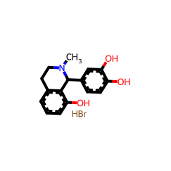 Br.CN1CCc2cccc(O)c2C1c1ccc(O)c(O)c1